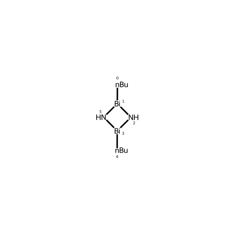 CCC[CH2][Bi]1[NH][Bi]([CH2]CCC)[NH]1